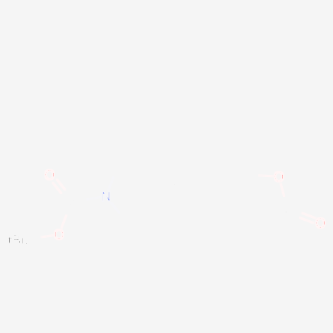 CC(C)(C)OC(=O)N1CCC2(CC1)CC1CC(=O)OC1c1ccccc12